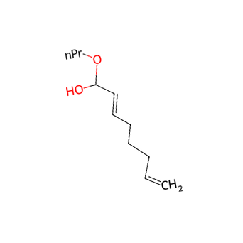 C=CCCCC=CC(O)OCCC